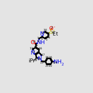 CC[S+]([O-])c1ccc(CNC(=O)c2cnc3c(c2)CN(Cc2ccc(N)cc2)[C@H]3C(C)C)nc1